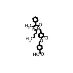 CCCCc1nc(C)c(-c2ccccc2)c(=O)n1Cc1ccc(OCc2ccc(C(=O)O)cc2)c(Cl)c1